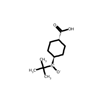 CC(C)(C)[S+]([O-])[C@H]1CC[C@H](C(=O)O)CC1